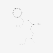 CCCCCCCCOC(C)CCC(CCCC)CC(C(=O)O)c1ccccc1